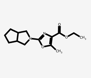 CCOC(=O)c1nc(N2CC3CCCC3C2)oc1C